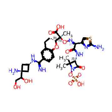 CC1(C)[C@H](NC(=O)/C(=N\O[C@](C)(C(=O)O)[C@H]2CCc3cc(C(=N)N[C@H]4C[C@@](N)(C(O)CO)C4)ccc3O2)c2csc(N)n2)C(=O)N1OS(=O)(=O)O